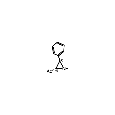 CC(=O)[C@H]1N[C@@H]1c1ccccc1